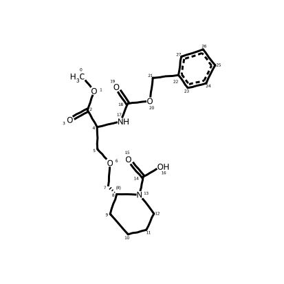 COC(=O)C(COC[C@H]1CCCCN1C(=O)O)NC(=O)OCc1ccccc1